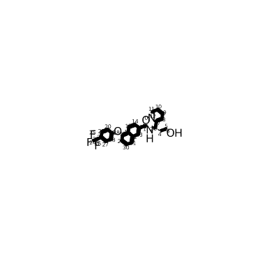 O=C(N[C@@H](CCO)c1ccccn1)c1ccc2c(Oc3ccc(C(F)(F)F)cc3)cccc2c1